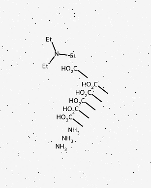 CC(=O)O.CC(=O)O.CC(=O)O.CC(=O)O.CC(=O)O.CC(=O)O.CCN(CC)CC.N.N.N